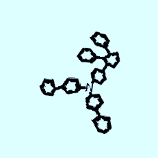 c1ccc(-c2ccc(N(c3ccc(-c4ccccc4)cc3)c3ccc(-c4cccc(-c5ccccc5)c4-c4ccccc4)cc3)cc2)cc1